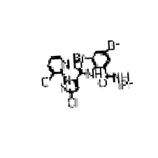 CC(C)NC(=O)c1cc(Br)cc(Br)c1NC(=O)c1cc(Cl)nn1-c1ncccc1Cl